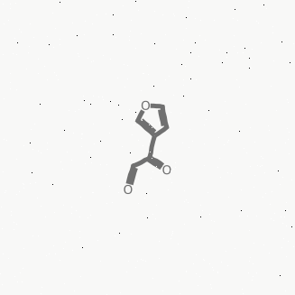 O=CC(=O)c1ccoc1